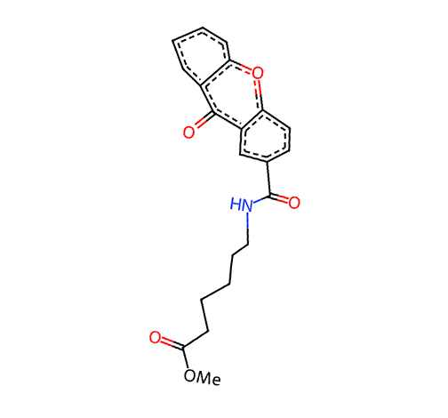 COC(=O)CCCCCNC(=O)c1ccc2oc3ccccc3c(=O)c2c1